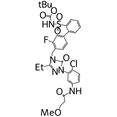 CCc1nn(-c2cc(NC(=O)CCOC)ccc2Cl)c(=O)n1Cc1ccc(-c2ccccc2S(=O)(=O)NC(=O)OC(C)(C)C)cc1F